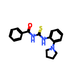 O=C(NC(=S)Nc1ccccc1N1CCCC1)c1ccccc1